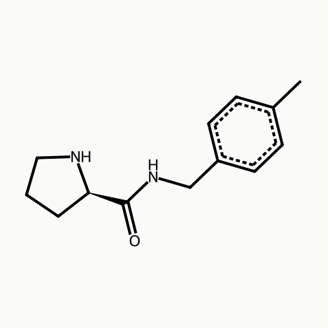 Cc1ccc(CNC(=O)[C@H]2CCCN2)cc1